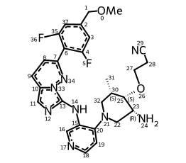 COCc1cc(F)c(-c2ccc3cnc(Nc4cnccc4N4C[C@@H](N)[C@@H](OCCC#N)[C@@H](C)C4)n3n2)c(F)c1